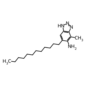 CCCCCCCCCCCCc1cc2[nH]nnc2c(C)c1N